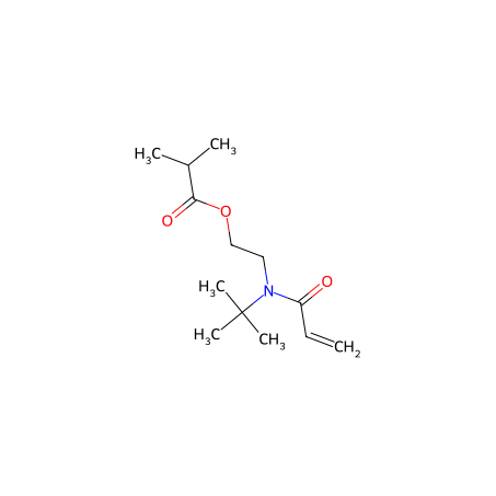 C=CC(=O)N(CCOC(=O)C(C)C)C(C)(C)C